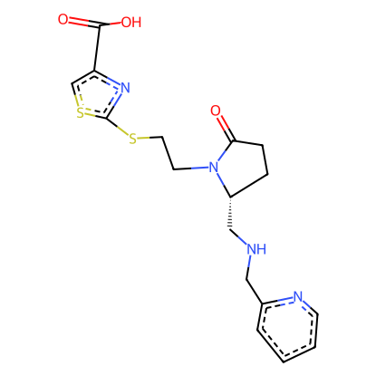 O=C(O)c1csc(SCCN2C(=O)CC[C@@H]2CNCc2ccccn2)n1